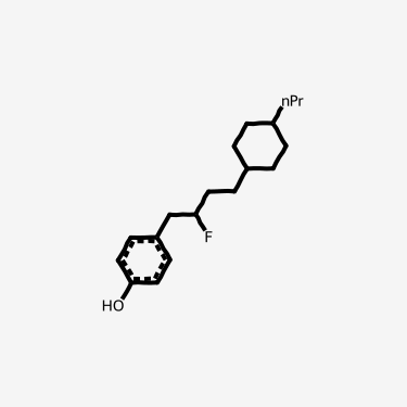 CCCC1CCC(CCC(F)Cc2ccc(O)cc2)CC1